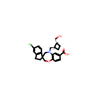 O=C(O)c1ccc2c(c1)N(C[C@@H]1CC[C@H]1CO)CC1(CCc3cc(Cl)ccc31)CO2